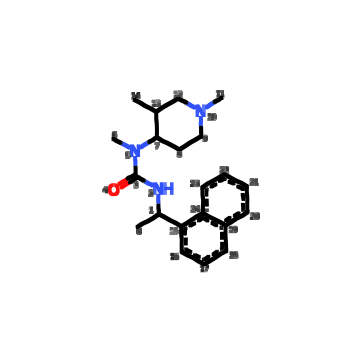 CC(NC(=O)N(C)C1CCN(C)CC1C)c1cccc2ccccc12